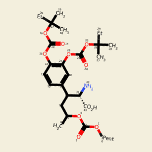 CCCC(C)OC(=O)OC(C)CC(c1ccc(OC(=O)OC(C)(C)CC)c(OC(=O)OC(C)(C)CC)c1)[C@H](N)C(=O)O